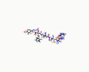 CC(=O)N[C@H](/C=C/c1ccc(O)cc1)C(=O)N[C@@H](CSc1c(F)c(F)nc(F)c1F)C(=O)NCC(=O)NCC(=O)NCC(=O)N[C@@H](CS)C(=O)NC(C)C(=O)N[C@@H](CC(C)C)C(N)=O